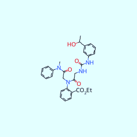 CCOC(=O)c1ccccc1N(CC(=O)N(C)c1ccccc1)C(=O)CNC(=O)Nc1cccc(C(C)O)c1